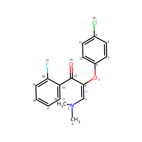 CN(C)/C=C(/Oc1ccc(Cl)cc1)C(=O)c1ccccc1F